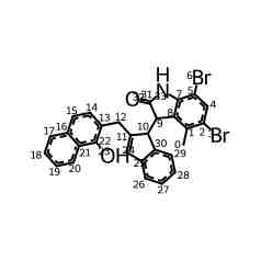 Cc1c(Br)cc(Br)c2c1C(C1C(Cc3ccc4ccccc4c3O)=Cc3ccccc31)C(=O)N2